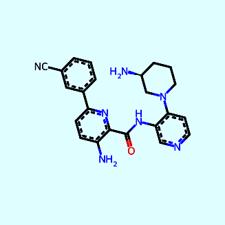 N#Cc1cccc(-c2ccc(N)c(C(=O)Nc3cnccc3N3CCC[C@H](N)C3)n2)c1